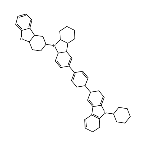 C1=Cc2c(n(C3CCCCC3)c3c2=CC(C2C=CC(C4=CC5C6CCCCC6N(C6CCC7Oc8ccccc8C7C6)C5C=C4)=CC2)CC=3)CC1